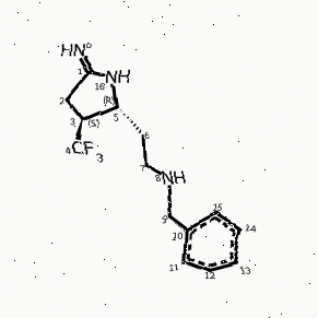 N=C1C[C@H](C(F)(F)F)[C@@H](CCNCc2ccccc2)N1